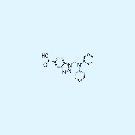 O=C(O)c1ccc2c(c1)nnn2CN(c1ccccc1)c1ccccc1